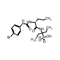 CCC[C@H](NC(=O)Nc1ccc(Br)cc1)C(=O)NC(CC)(CC)P(=O)(O)O